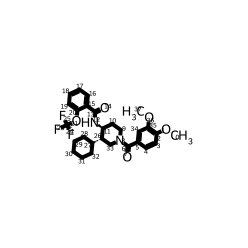 COc1ccc(C(=O)N2CC[C@H](NC(=O)c3ccccc3OC(F)(F)F)[C@@H](C3CCCCC3)C2)cc1OC